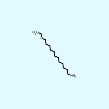 CCOCCCCCCCCCCCCN